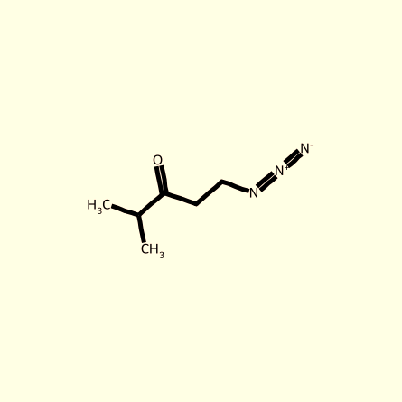 CC(C)C(=O)CCN=[N+]=[N-]